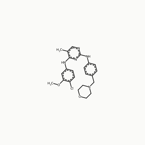 COc1cc(Nc2nc(Nc3ccc(CN4CCOCC4)cc3)ncc2C)ccc1Cl